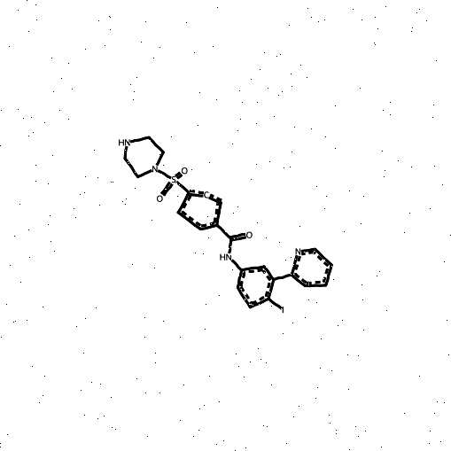 O=C(Nc1ccc(I)c(-c2ccccn2)c1)c1ccc(S(=O)(=O)N2CCNCC2)cc1